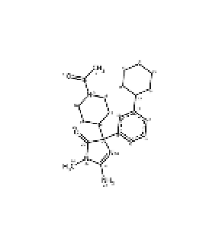 CC(=O)N1CCC(C2(c3cccc(C4CCCCC4)c3)N=C(N)N(C)C2=O)CC1